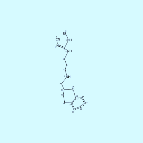 CCNC(=NC#N)NCCCNCC1CCc2ccccc2O1